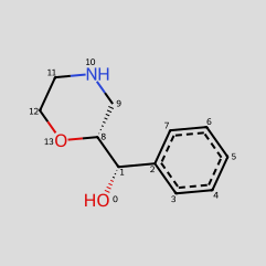 O[C@@H](c1ccccc1)[C@H]1CNCCO1